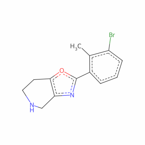 Cc1c(Br)cccc1-c1nc2c(o1)CCNC2